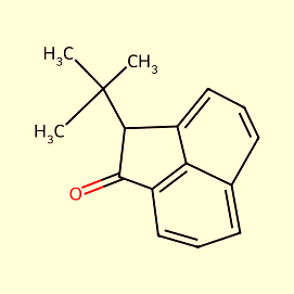 CC(C)(C)C1C(=O)c2cccc3cccc1c23